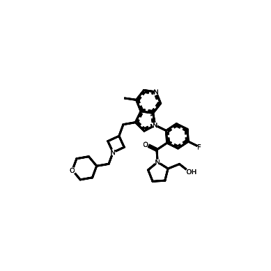 Cc1cncc2c1c(CC1CN(CC3CCOCC3)C1)cn2-c1ccc(F)cc1C(=O)N1CCCC1CO